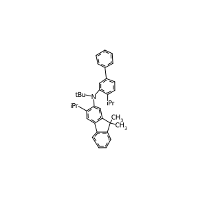 CC(C)c1ccc(-c2ccccc2)cc1N(c1cc2c(cc1C(C)C)-c1ccccc1C2(C)C)C(C)(C)C